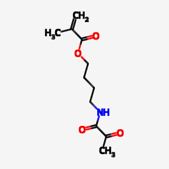 C=C(C)C(=O)OCCCCNC(=O)C(C)=O